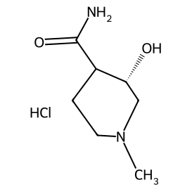 CN1CCC(C(N)=O)[C@H](O)C1.Cl